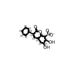 O=c1oc2c([N+](=O)[O-])c(O)c(O)cc2cc1-c1ccccc1